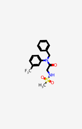 CS(=O)(=O)NCC(=O)N(Cc1ccccc1)c1cccc(C(F)(F)F)c1